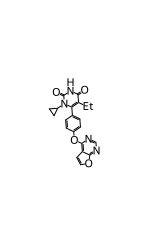 CCc1c(-c2ccc(Oc3ncnc4occc34)cc2)n(C2CC2)c(=O)[nH]c1=O